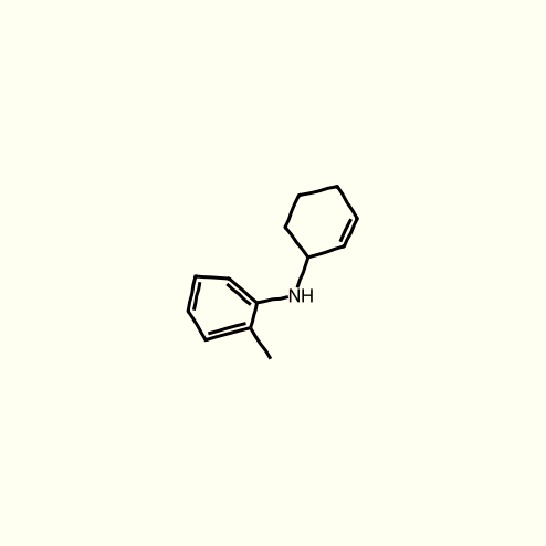 Cc1ccccc1NC1C=CCCC1